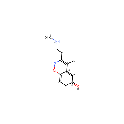 CC1=C(CCNC=O)NOC2=CCC(=O)C=C21